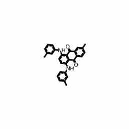 Cc1cccc(Nc2ccc(Nc3cccc(C)c3)c3c2C(=O)c2ccc(C)cc2C3=O)c1